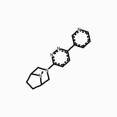 CN1C2CCC1CN(c1ccc(-c3cccnc3)nn1)C2